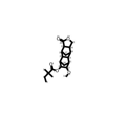 CCC(C)(C)C(=O)OC1C2CC(C1OC)C1C3CC(C4C(=O)OCC34)C21